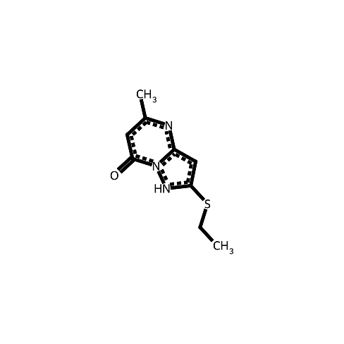 CCSc1cc2nc(C)cc(=O)n2[nH]1